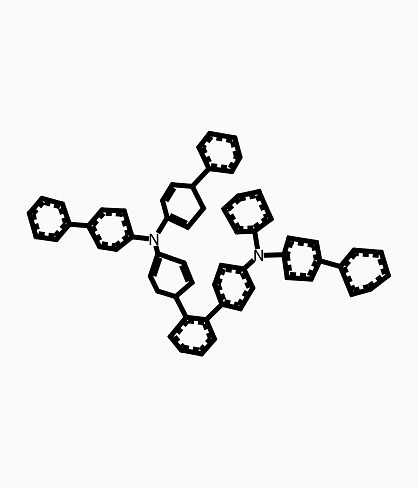 C1=CC(c2ccccc2)CC=C1N(C1=CCC(c2ccccc2-c2ccc(N(c3ccccc3)c3ccc(-c4ccccc4)cc3)cc2)C=C1)c1ccc(-c2ccccc2)cc1